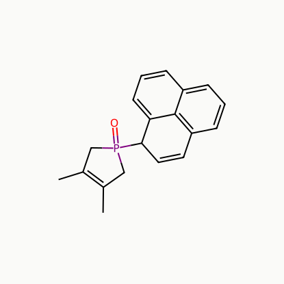 CC1=C(C)CP(=O)(C2C=Cc3cccc4cccc2c34)C1